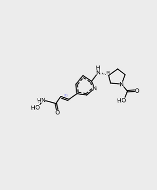 O=C(/C=C/c1ccc(N[C@@H]2CCN(C(=O)O)C2)nc1)NO